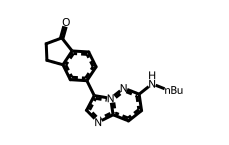 CCCCNc1ccc2ncc(-c3ccc4c(c3)CCC4=O)n2n1